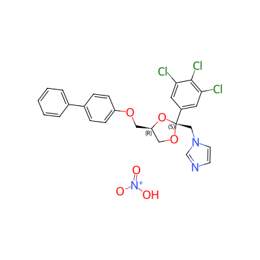 Clc1cc([C@]2(Cn3ccnc3)OC[C@@H](COc3ccc(-c4ccccc4)cc3)O2)cc(Cl)c1Cl.O=[N+]([O-])O